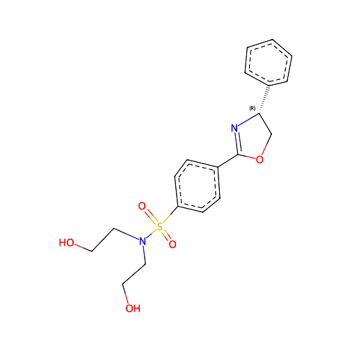 O=S(=O)(c1ccc(C2=N[C@H](c3ccccc3)CO2)cc1)N(CCO)CCO